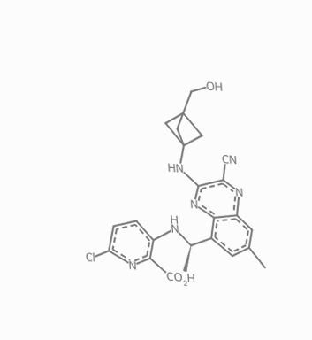 Cc1cc([C@@H](C)Nc2ccc(Cl)nc2C(=O)O)c2nc(NC34CC(CO)(C3)C4)c(C#N)nc2c1